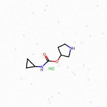 Cl.O=C(NC1CC1)OC1CCNC1